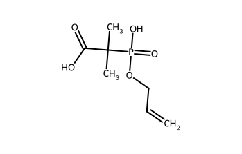 C=CCOP(=O)(O)C(C)(C)C(=O)O